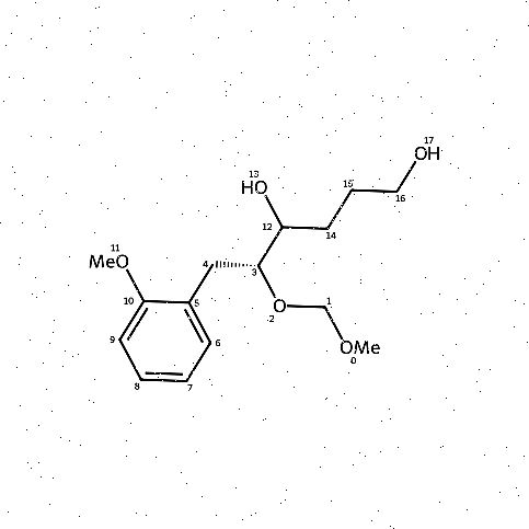 COCO[C@H](Cc1ccccc1OC)C(O)CCCO